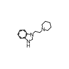 c1ccc2c(c1)NCN2CCN1CCCCC1